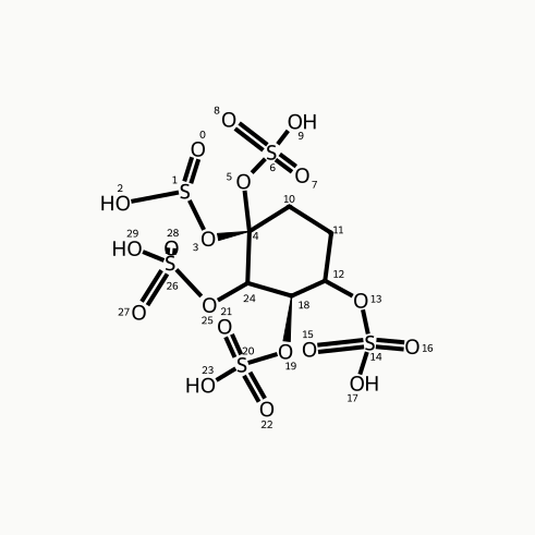 O=S(O)O[C@@]1(OS(=O)(=O)O)CCC(OS(=O)(=O)O)[C@@H](OS(=O)(=O)O)C1OS(=O)(=O)O